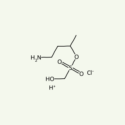 CC(CCN)OS(=O)(=O)CO.[Cl-].[H+]